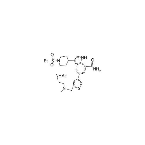 CCS(=O)(=O)N1CCC(c2c[nH]c3c(C(N)=O)cc(-c4csc(CN(C)CCNC(C)=O)c4)cc23)CC1